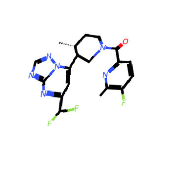 Cc1nc(C(=O)N2CC[C@@H](C)C(c3cc(C(F)F)nc4ncnn34)C2)ccc1F